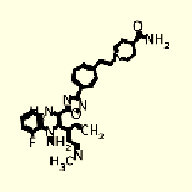 C=CC(=C\C=N/C)/C(=C(/N)c1nc(C2=CCC=C(CCN3CCC(C(N)=O)CC3)C=C2)no1)N(N)c1ccccc1F